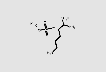 NCCCC[C@H](N)C(=O)O.O=S(=O)([O-])[O-].[K+].[K+]